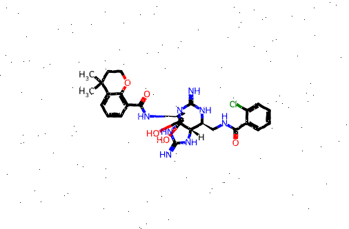 CC1(C)CCOc2c(C(=O)N[C@H]3CN4C(=N)N[C@@H](CNC(=O)c5ccccc5Cl)[C@@H]5NC(=N)N[C@@]54C3(O)O)cccc21